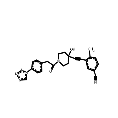 Cc1ccc(C#N)cc1C#CC1(O)CCN(C(=O)Cc2ccc(-n3cnnn3)cc2)CC1